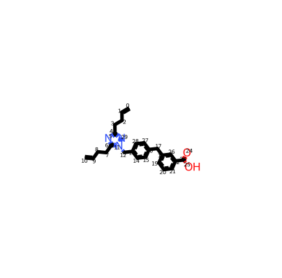 C=CCCc1nc(CCC=C)n(Cc2ccc(Cc3cccc(C(=O)O)c3)cc2)n1